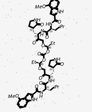 CC[C@H](OCC(=O)[C@H](C[C@@H]1CCNC1=O)NC(=O)[C@H](CC(C)C)NC(=O)c1cc2c(OC)cccc2[nH]1)OC(=O)O[C@H](CC)OCC(=O)[C@H](C[C@@H]1CCNC1=O)NC(=O)[C@H](CC(C)C)NC(=O)c1cc2c(OC)cccc2[nH]1